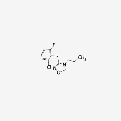 CCCN1CON=C1Cc1c(F)cccc1Cl